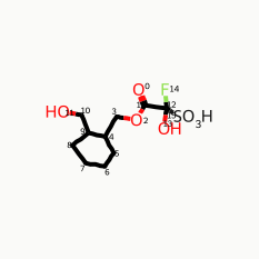 O=C(OCC1CCCCC1CO)C(O)(F)S(=O)(=O)O